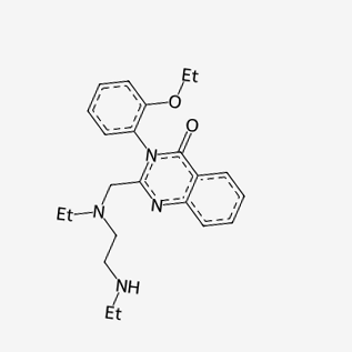 CCNCCN(CC)Cc1nc2ccccc2c(=O)n1-c1ccccc1OCC